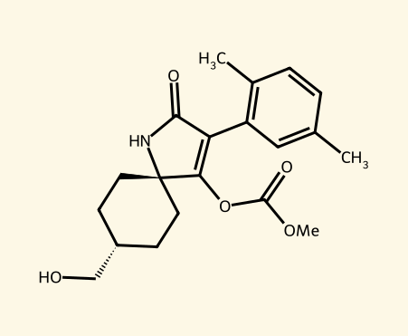 COC(=O)OC1=C(c2cc(C)ccc2C)C(=O)N[C@]12CC[C@@H](CO)CC2